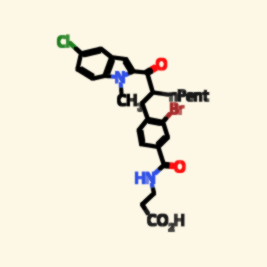 CCCCCC(Cc1ccc(C(=O)NCCC(=O)O)cc1Br)C(=O)c1cc2cc(Cl)ccc2n1C